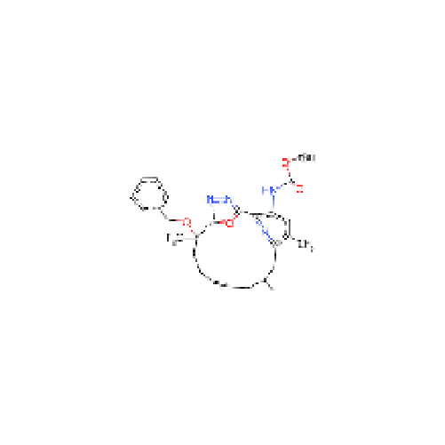 CC1C/C=C\CCC(OCc2ccccc2)(C(F)(F)F)c2nnc(o2)-c2nc(c(C(F)(F)F)cc2NC(=O)OC(C)(C)C)C1